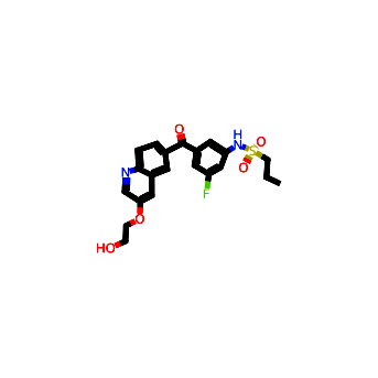 CCCS(=O)(=O)Nc1cc(F)cc(C(=O)c2ccc3ncc(OCCO)cc3c2)c1